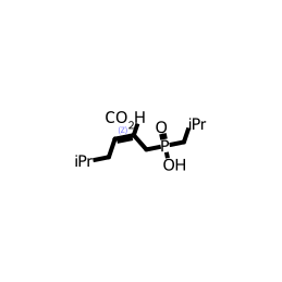 CC(C)C/C=C(\CP(=O)(O)CC(C)C)C(=O)O